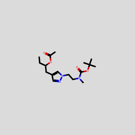 CCC(Cc1cnn(CCN(C)C(=O)OC(C)(C)C)c1)OC(C)=O